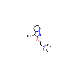 Cc1c(OCCN(C)C)nn2ccccc12